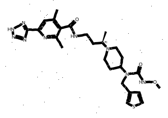 CONC(=O)N(Cc1ccsc1)C1CCN([C@H](C)CCNC(=O)c2c(C)cc(-c3nn[nH]n3)nc2C)CC1